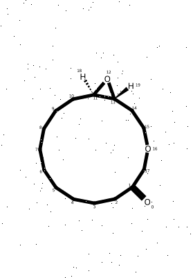 O=C1CCCCCCCCC[C@H]2O[C@@H]2CCOC1